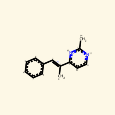 C/C(=C\c1ccccc1)c1ccnc(C)n1